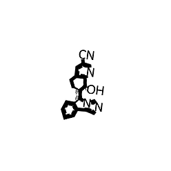 N#Cc1cnc2c(c1)CC[C@H]([C@@H]1c3ccccc3-c3cncn31)[C@H]2O